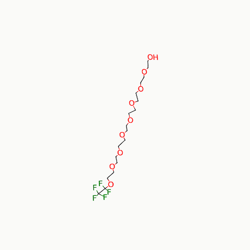 OCCOCCOCCOCCOCCOCCOCCOCCOC(F)(F)C(F)(F)F